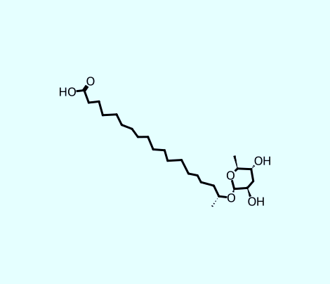 C[C@H](CCCCCCCCCCCCCCCCC(=O)O)O[C@@H]1O[C@@H](C)[C@H](O)C[C@H]1O